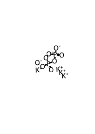 O=P([O-])([O-])OP(=O)([O-])O[O-].[K+].[K+].[K+].[K+]